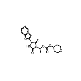 CC(OC(=O)OC1CCOCC1)N1C(=O)N[C@@H](c2cc3cnccc3o2)C1=O